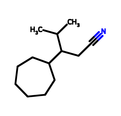 CC(C)C(CC#N)C1CCCCCC1